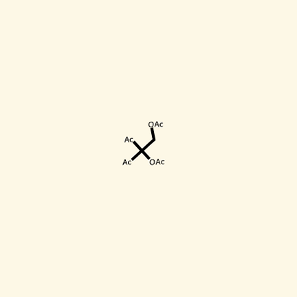 CC(=O)OCC(OC(C)=O)(C(C)=O)C(C)=O